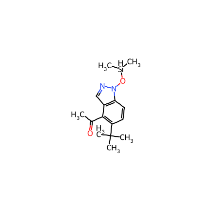 CC(=O)c1c(C(C)(C)C)ccc2c1cnn2O[SiH](C)C